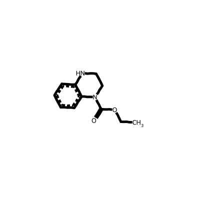 CCOC(=O)N1CCNc2ccccc21